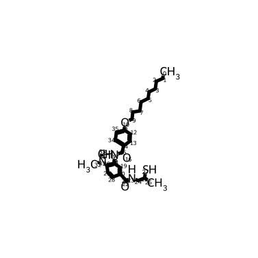 CCCCCCCCCCOc1ccc(C(=O)Nc2cc(C(=O)NCC(C)S)ccc2N(C)C)cc1